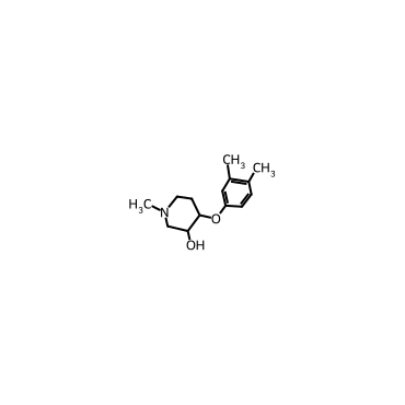 Cc1ccc(OC2CCN(C)CC2O)cc1C